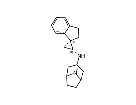 CN1C2CCC1CC(N[C@@H]1C[C@]13CCc1ccccc13)C2